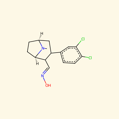 CN1[C@H]2CC[C@@H]1C(C=NO)C(c1ccc(Cl)c(Cl)c1)C2